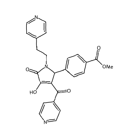 COC(=O)c1ccc(C2C(C(=O)c3ccncc3)=C(O)C(=O)N2CCc2ccncc2)cc1